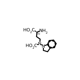 N[C@@H](CCN(C(=O)O)N1CCc2ccccc21)C(=O)O